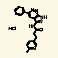 Cc1ccc(CCC(=O)Nc2n[nH]c3nnc(-c4ccccc4)cc23)cn1.Cl